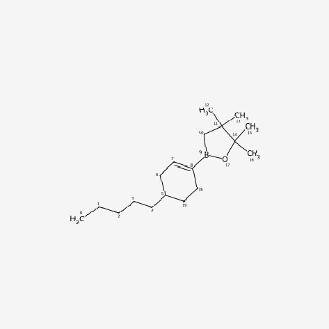 CCCCCC1CC=C(B2CC(C)(C)C(C)(C)O2)CC1